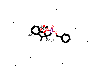 CC([C@@H](O[Si](C)(C)C(C)(C)C)C(=O)O)C(C)(CP(=O)(OCc1ccccc1)OCc1ccccc1)C(=O)O